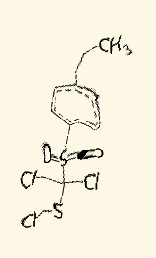 CCc1ccc(S(=O)(=O)C(Cl)(Cl)SCl)cc1